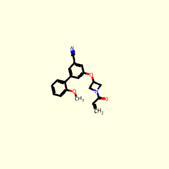 C=CC(=O)N1CC(Oc2cc(C#N)cc(-c3ccccc3OC)c2)C1